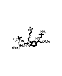 COCC(NCC(C)(C)N)c1ccc2nc([C@H](COC(C)(C)C(F)(F)F)NC(=O)OC(C)(C)C)n(COCC[Si](C)(C)C)c2c1